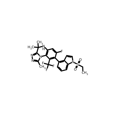 CCS(=O)(=O)n1ccc2c(-c3c(F)cc4c(c3C(F)(F)F)-n3c(C)nnc3C(C)(C)N4)cccc21